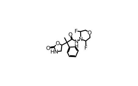 CC(C(=O)NN1C(F)COCC1F)(c1ccccc1)C1CNC(=O)O1